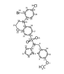 COc1ccc(CN(c2nccs2)S(=O)(=O)c2ccc3c(c2)OCCN3c2ccc(Cl)cc2Br)cc1